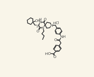 CCCCN1C(=O)[C@@H](CC2(O)CCCCC2)NC(=O)C12CCN(Cc1ccc(NC(=O)Cc3ccc(C(=O)O)cc3)cc1)CC2.Cl